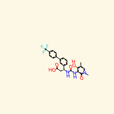 Cc1cn(C)c(=O)c(NC(=O)N[C@@H](CC(=O)O)c2cccc(-c3ccc(C(F)(F)F)cc3)c2)c1O